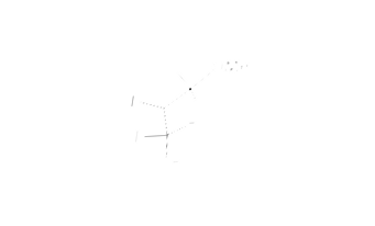 COC(F)(F)C(F)C(F)(F)C(F)(F)F